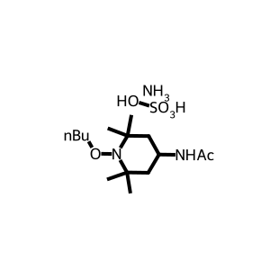 CCCCON1C(C)(C)CC(NC(C)=O)CC1(C)C.N.O=S(=O)(O)O